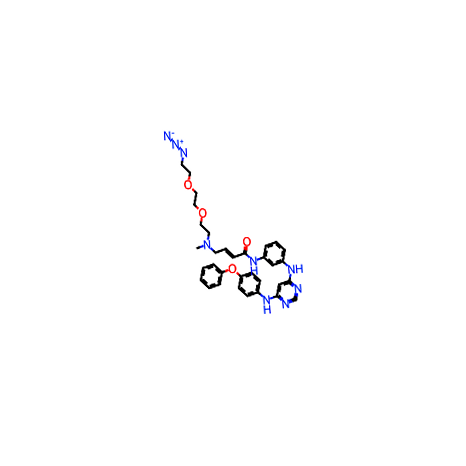 CN(C/C=C/C(=O)Nc1cccc(Nc2cc(Nc3ccc(Oc4ccccc4)cc3)ncn2)c1)CCOCCOCCN=[N+]=[N-]